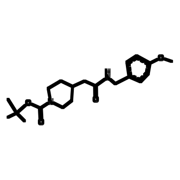 COc1ccc(CNC(=O)CC2CCN(C(=O)OC(C)(C)C)CC2)cc1